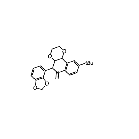 CC(C)(C)c1ccc2c(c1)C1OCCOC1C(c1cccc3c1OCO3)N2